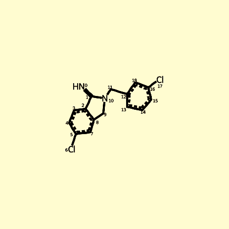 N=C1c2ccc(Cl)cc2CN1Cc1cccc(Cl)c1